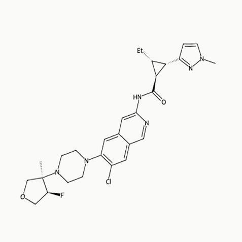 CC[C@H]1[C@H](C(=O)Nc2cc3cc(N4CCN([C@]5(C)COC[C@@H]5F)CC4)c(Cl)cc3cn2)[C@H]1c1ccn(C)n1